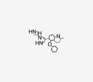 CC1CCc2c(ccc(/C(C=N)=C/NC3CNC3)c2Oc2ccccc2)N1C